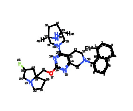 CCc1cccc2cccc(N3CCc4c(nc(OCC56CCCN5CC(F)C6)nc4N4C[C@H]5CC[C@@H](C4)N5)C3)c12